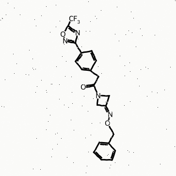 O=C(Cc1ccc(-c2noc(C(F)(F)F)n2)cc1)N1CC(=NOCc2ccccc2)C1